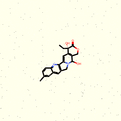 CC[C@@]1(O)C(=O)OCC2=C1C=C1c3nc4ccc(C)cc4cc3CN1C2O